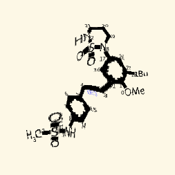 COc1c(/C=C/c2ccc(NS(C)(=O)=O)cc2)cc(N2CCCNS2(=O)=O)cc1C(C)(C)C